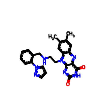 Cc1cc2nc3c(=O)[nH]c(=O)nc-3n(CCNCc3ccccc3-n3cccn3)c2cc1C